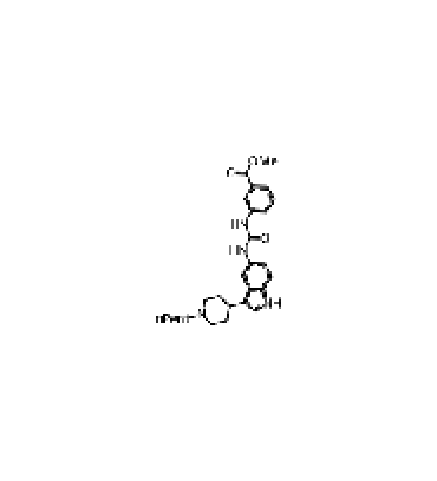 CCCCCN1CCC(c2c[nH]c3ccc(NC(=O)Nc4cccc(C(=O)OC)c4)cc23)CC1